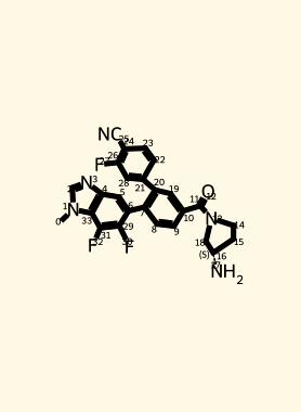 Cn1cnc2cc(-c3ccc(C(=O)N4CC[C@H](N)C4)cc3-c3ccc(C#N)c(F)c3)c(F)c(F)c21